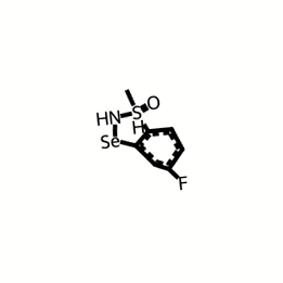 C[SH]1(=O)N[Se]c2cc(F)ccc21